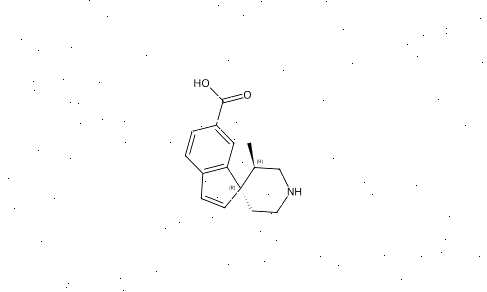 C[C@H]1CNCC[C@@]12C=Cc1ccc(C(=O)O)cc12